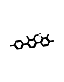 Cc1ccc(-c2ccc3c(c2C)COc2c-3ccc(C)c2C)cc1